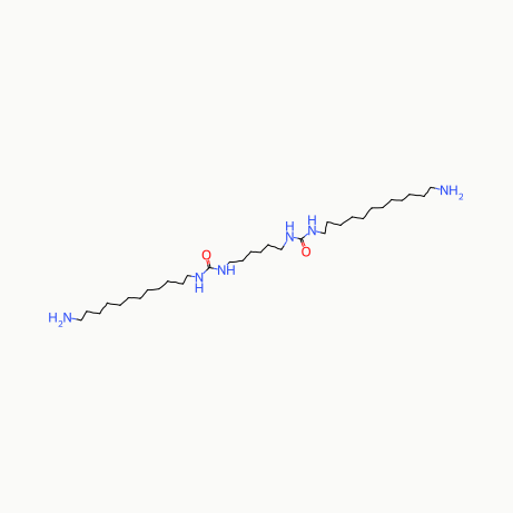 NCCCCCCCCCCCCNC(=O)NCCCCCCNC(=O)NCCCCCCCCCCCCN